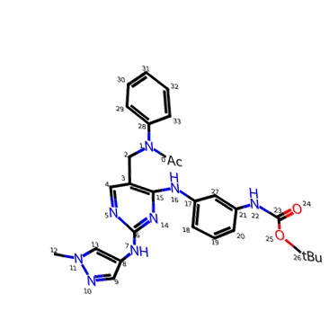 CC(=O)N(Cc1cnc(Nc2cnn(C)c2)nc1Nc1cccc(NC(=O)OC(C)(C)C)c1)c1ccccc1